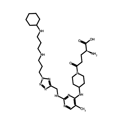 Cc1cnc(NCc2nnn(CCCNCCCNC3CCCCC3)n2)nc1NC1CCN(C(=O)CC[C@H](N)C(=O)O)CC1